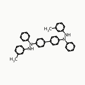 Cc1cccc(NN(c2ccccc2)c2ccc(-c3ccc(N(Nc4cccc(C)c4)c4ccccc4)cc3)cc2)c1